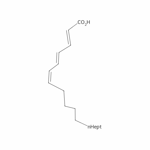 CCCCCCCCCCC\C=C/C=C/C=C/C(=O)O